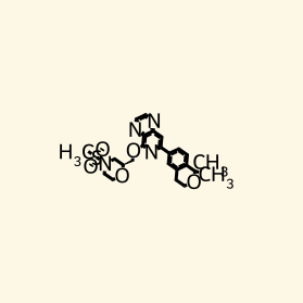 CC1(C)OCCc2cc(-c3cc4nccnc4c(OC[C@@H]4CN(S(C)(=O)=O)CCO4)n3)ccc21